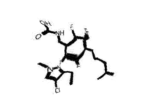 CC(C)CCCc1c(F)c(F)c(CNC(=O)O)c(F)c1F.CCc1nn(C)cc1Cl